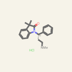 CNCC[C@@H](c1ccccc1)N1C(=O)C(C)(C)c2ccccc21.Cl